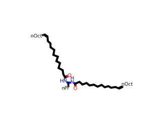 CCCCCCCC/C=C\CCCCCCCCCCCC(=O)NC(CCC)NC(=O)CCCCCCCCCCC/C=C\CCCCCCCC